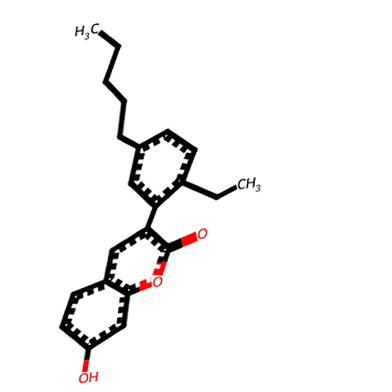 CCCCCc1ccc(CC)c(-c2cc3ccc(O)cc3oc2=O)c1